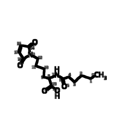 CCCCCC(=O)NC(CCCCN1C(=O)C=CC1=O)C(=O)O